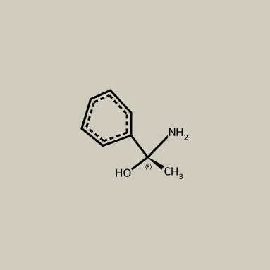 C[C@@](N)(O)c1ccccc1